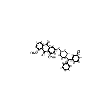 COc1cccc2c1C(=O)c1c(OC)cc(CN3CCN(C(c4ccccc4)c4cccc(Cl)c4)CC3)cc1C2=O